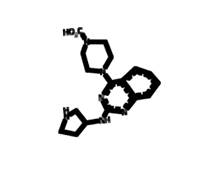 O=C(O)N1CCN(c2nc(NC3CCNC3)nc3ccccc23)CC1